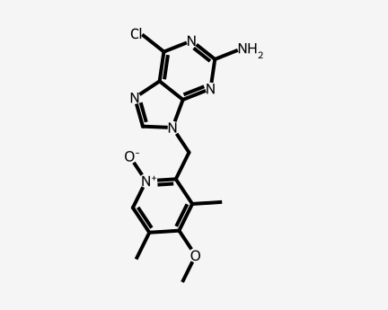 COc1c(C)c[n+]([O-])c(Cn2cnc3c(Cl)nc(N)nc32)c1C